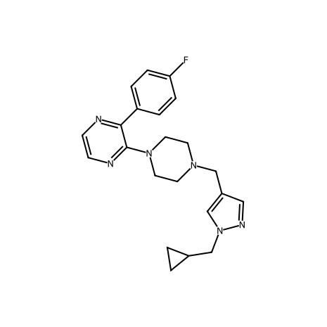 Fc1ccc(-c2nccnc2N2CCN(Cc3cnn(CC4CC4)c3)CC2)cc1